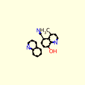 Cc1ccnc2c(O)ccc(C#N)c12.c1ccc2ncccc2c1